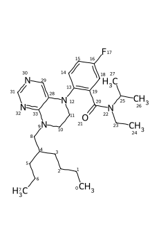 CCCCC(CCC)CN1CCN(c2ccc(F)cc2C(=O)N(CC)C(C)C)c2cncnc21